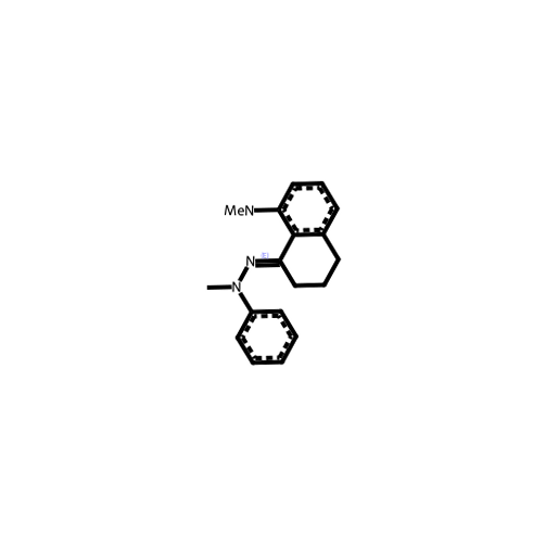 CNc1cccc2c1/C(=N/N(C)c1ccccc1)CCC2